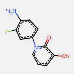 Nc1ccc(-n2cccc(O)c2=O)cc1F